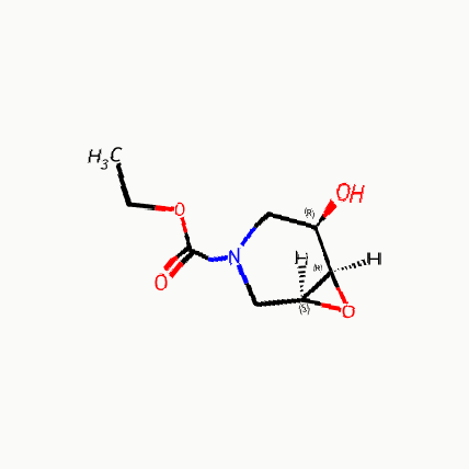 CCOC(=O)N1C[C@@H](O)[C@H]2O[C@H]2C1